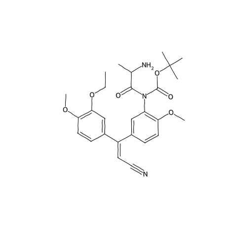 CCOc1cc(C(=CC#N)c2ccc(OC)c(N(C(=O)OC(C)(C)C)C(=O)C(C)N)c2)ccc1OC